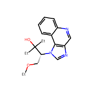 CCOC[C@@H](n1cnc2cnc3ccccc3c21)C(O)(CC)CC